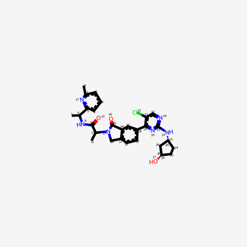 Cc1cccc(C(C)NC(=O)C(C)N2Cc3ccc(-c4nc(N[C@@H]5CC[C@@H](O)C5)ncc4Cl)cc3C2=O)n1